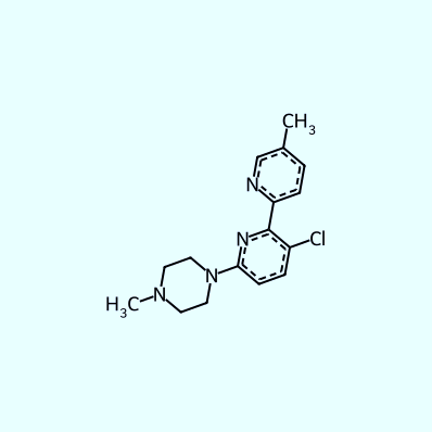 Cc1ccc(-c2nc(N3CCN(C)CC3)ccc2Cl)nc1